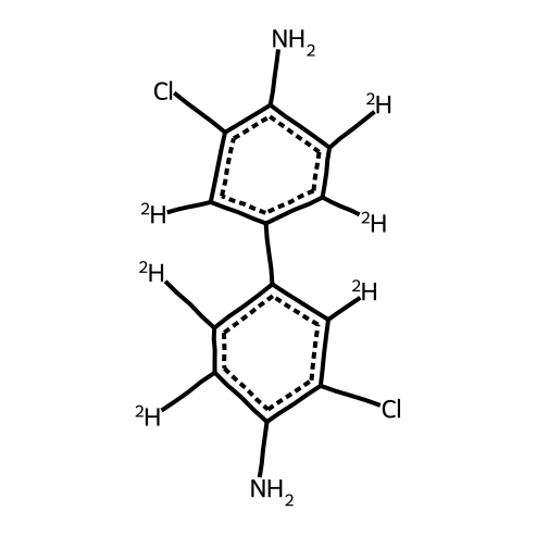 [2H]c1c([2H])c(-c2c([2H])c([2H])c(N)c(Cl)c2[2H])c([2H])c(Cl)c1N